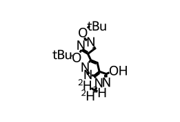 [2H]C([2H])([2H])n1nc(O)c2cc(-c3cnc(OC(C)(C)C)nc3OC(C)(C)C)nnc21